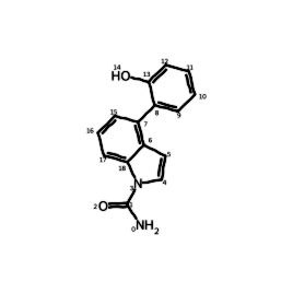 NC(=O)n1ccc2c(-c3ccccc3O)cccc21